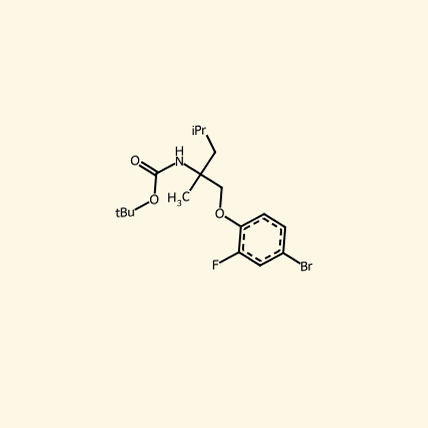 CC(C)CC(C)(COc1ccc(Br)cc1F)NC(=O)OC(C)(C)C